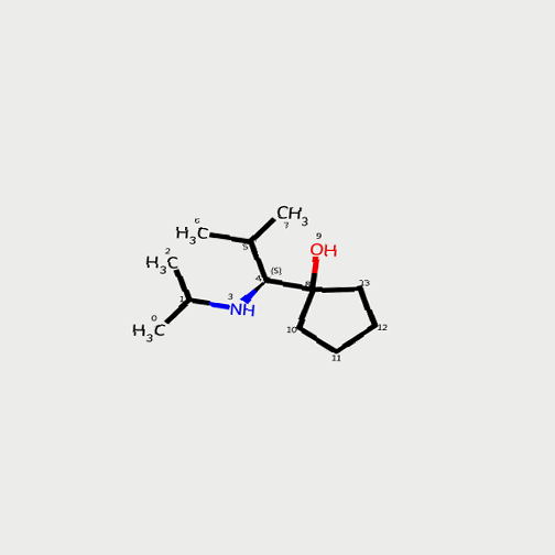 CC(C)N[C@@H](C(C)C)C1(O)CCCC1